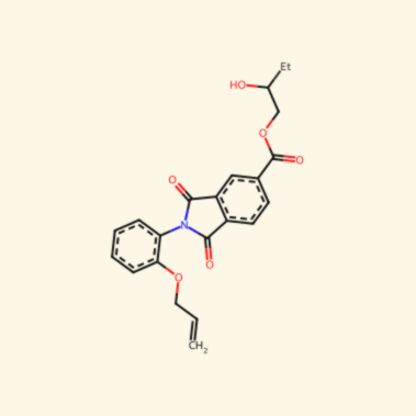 C=CCOc1ccccc1N1C(=O)c2ccc(C(=O)OCC(O)CC)cc2C1=O